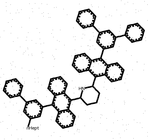 CCCCCCCc1cc(-c2ccccc2)cc(-c2c3ccccc3c(C3CCCC(c4c5ccccc5c(-c5cc(-c6ccccc6)cc(-c6ccccc6)c5)c5ccccc45)N3)c3ccccc23)c1